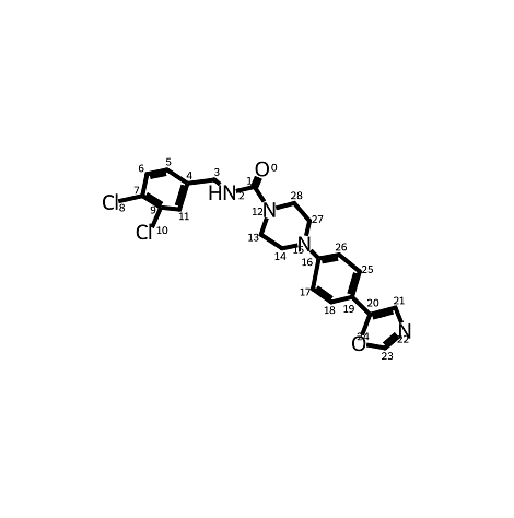 O=C(NCc1ccc(Cl)c(Cl)c1)N1CCN(c2ccc(-c3cnco3)cc2)CC1